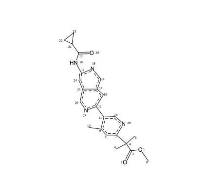 COC(=O)C(C)(C)c1cc(C)c(-c2cc3cnc(NC(=O)C4CC4)cc3cn2)cn1